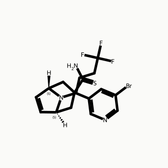 NC(=S)C1(c2cncc(Br)c2)C[C@H]2C=C[C@H](C1)N2CCCC(F)(F)F